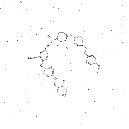 COc1cc(/C=C/C(=O)N2CCN(Cc3ccc(COc4ccc(OC(C)C)cc4)cc3)CC2)ccc1Oc1ccc(OCc2ccccc2Cl)cn1